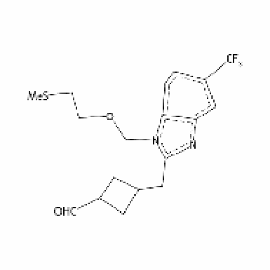 CSCCOCn1c(CC2CC(C=O)C2)nc2cc(C(F)(F)F)ccc21